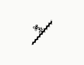 CCCCCCCCCC(CCCCCCCC)[N+](C)(C)C.O=S(=O)([O-])O